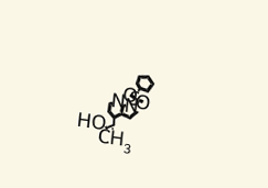 C[C](O)Cc1ccnc2c1ccn2S(=O)(=O)c1ccccc1